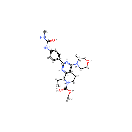 CCNC(=O)Nc1ccc(-c2nc3c(c(N4CCOC[C@@H]4C)n2)CCN(C(=O)OC(C)(C)C)[C@H]3CC#N)cc1